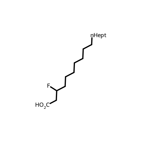 CCCCCCCCCCCCCCC(F)CC(=O)O